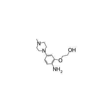 CN1CCN(c2ccc(N)c(OCCO)c2)CC1